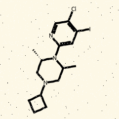 CC1CN(C2CCC2)C[C@H](C)N1c1cc(I)c(Cl)cn1